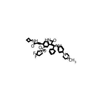 CN1CCN(c2ccc(N/C(=C3\C(=O)Nc4cc(C#CC(=O)NC5CCC5)c(S(=O)(=O)N5CCC(F)(F)C5)cc43)c3ccccc3)cc2)CC1